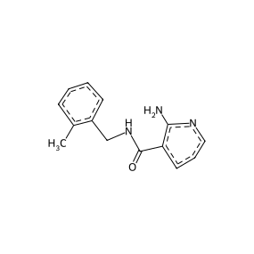 Cc1ccccc1CNC(=O)c1cccnc1N